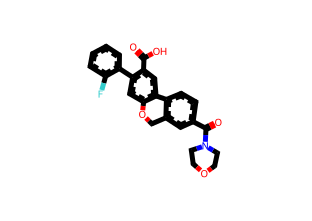 O=C(O)c1cc2c(cc1-c1ccccc1F)OCc1cc(C(=O)N3CCOCC3)ccc1-2